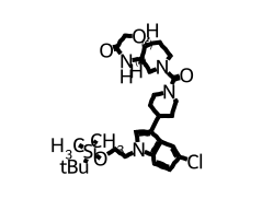 CC(C)(C)[Si](C)(C)OCCn1cc(C2CCN(C(=O)N3CC[C@@H]4OCC(=O)N[C@H]4C3)CC2)c2cc(Cl)ccc21